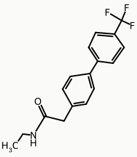 CCNC(=O)Cc1ccc(-c2ccc(C(F)(F)F)cc2)cc1